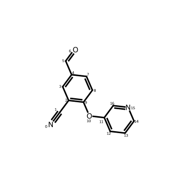 N#Cc1cc(C=O)ccc1Oc1cccnc1